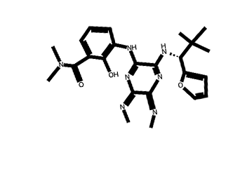 C/N=C1/N=C(Nc2cccc(C(=O)N(C)C)c2O)C(N[C@@H](c2ccco2)C(C)(C)C)=N/C1=N/C